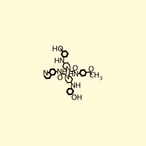 CC(=O)c1ccc(NC(=O)CN2CCC(Nc3cccc(O)c3)CC2)cc1.O=C(CN1CCC(Nc2cccc(O)c2)CC1)Nc1ccc2ncccc2c1